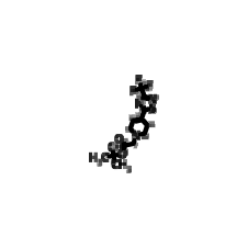 CC(C)(C)OC(=O)CN1CC=C(c2nc(C(F)(F)F)ns2)CC1